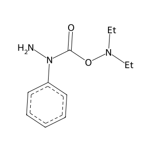 CCN(CC)OC(=O)N(N)c1ccccc1